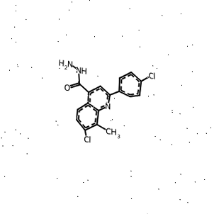 Cc1c(Cl)ccc2c(C(=O)NN)cc(-c3ccc(Cl)cc3)nc12